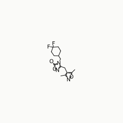 Cc1noc(C)c1Cc1noc(=O)n1CC1CCC(F)(F)CC1